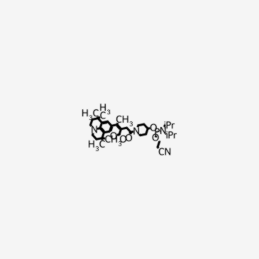 Cc1c(CC(=O)N2CCC(OP(OCCC#N)N(C(C)C)C(C)C)CC2)c(=O)oc2c3c4c(cc12)C(C)(C)CCN4CCC3(C)C